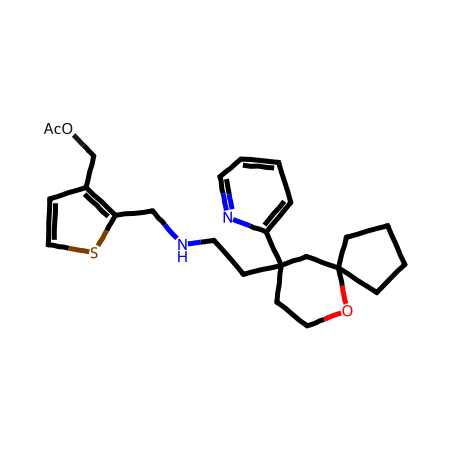 CC(=O)OCc1ccsc1CNCCC1(c2ccccn2)CCOC2(CCCC2)C1